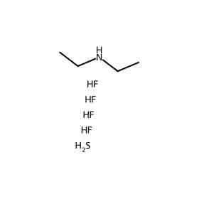 CCNCC.F.F.F.F.S